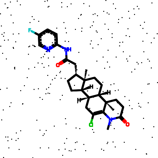 CN1C(=O)CC[C@@]2(C)C1=C(Cl)C[C@H]1[C@@H]3CC[C@H](CC(=O)Nc4ccc(F)cn4)[C@@]3(C)CC[C@@H]12